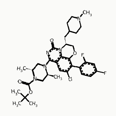 C[C@@H]1CN(c2nc(=O)n3c4c(c(-c5ccc(F)cc5F)c(Cl)cc24)OC[C@H]3CC2CCN(C)CC2)[C@@H](C)CN1C(=O)OC(C)(C)C